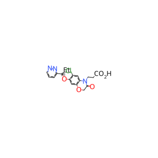 CC[C@@H](Oc1cc2c(cc1Cl)N(CCC(=O)O)C(=O)CO2)c1cccnn1